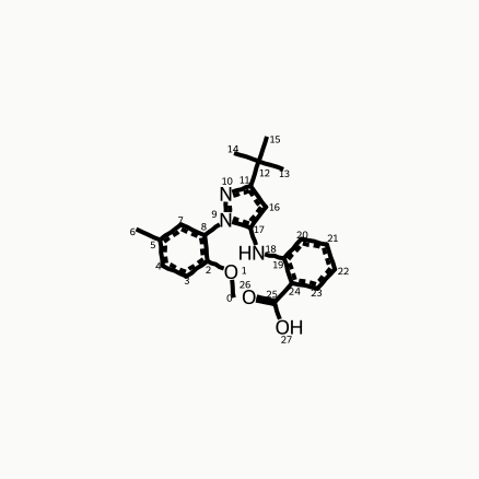 COc1ccc(C)cc1-n1nc(C(C)(C)C)cc1Nc1ccccc1C(=O)O